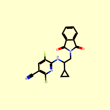 N#Cc1cc(F)c(NC(CN2C(=O)c3ccccc3C2=O)C2CC2)nc1Cl